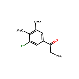 COc1cc(C(=O)C[N+](=O)[O-])cc(Cl)c1OC